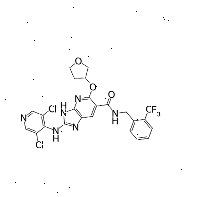 O=C(NCc1ccccc1C(F)(F)F)c1cc2nc(Nc3c(Cl)cncc3Cl)[nH]c2nc1OC1CCOC1